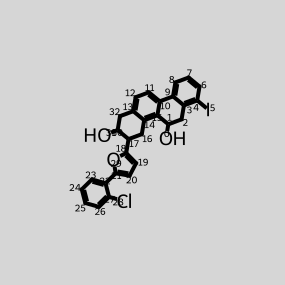 OC1Cc2c(I)cccc2-c2ccc3c(c21)CC(c1ccc(-c2ccccc2Cl)o1)C(O)C3